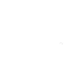 C=Cc1ccc2cc(C#N)cc3c2c1C=CC3